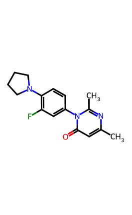 Cc1cc(=O)n(-c2ccc(N3CCCC3)c(F)c2)c(C)n1